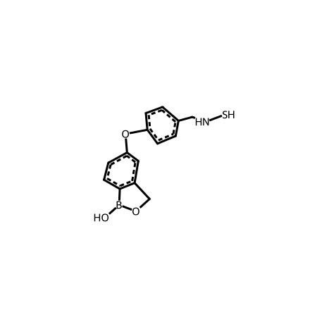 OB1OCc2cc(Oc3ccc(CNS)cc3)ccc21